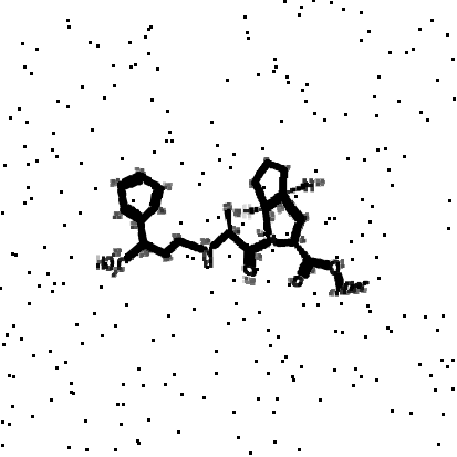 CCCCCCCCCCOC(=O)[C@@H]1C[C@@H]2CCC[C@@H]2N1C(=O)[C@H](C)NCCC(C(=O)O)c1ccccc1